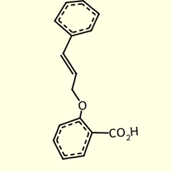 O=C(O)c1ccccc1OCC=Cc1ccccc1